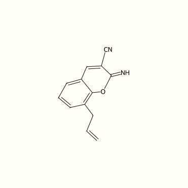 C=CCc1cccc2cc(C#N)c(=N)oc12